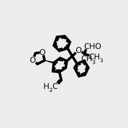 C=Cc1cc([C@H]2COCO2)cc(C(OC(C)(C)C=O)(c2ccccc2)c2ccccc2)c1